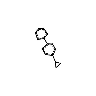 c1ccc(-c2ccc([C]3CC3)cc2)cc1